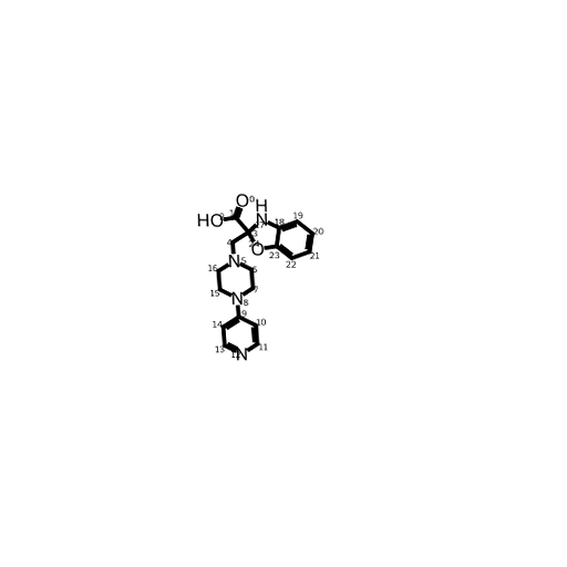 O=C(O)C1(CN2CCN(c3ccncc3)CC2)Nc2ccccc2O1